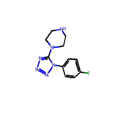 Fc1ccc(-n2nnnc2N2CCNCC2)cc1